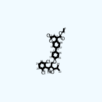 CCOC(=O)c1cc(=O)oc2cc(-c3ccc(OCC4C(c5c(Cl)cccc5Cl)=NOC4C(C)C)cc3)ccc12